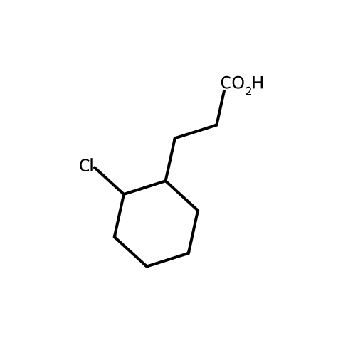 O=C(O)CCC1CCCCC1Cl